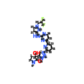 CN1CCC(O)(c2cn(-c3cccc(-c4ccnc(Nc5ccn(CC(F)F)n5)n4)n3)nn2)C1=O